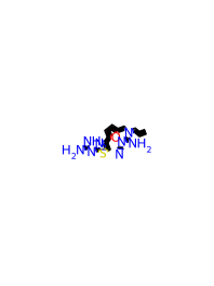 C=CCN(Cc1ccc(-c2csc(N=C(N)N)n2)o1)C(N)=NC#N